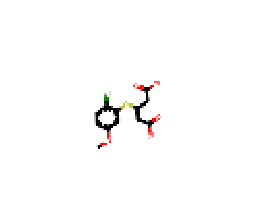 COc1ccc(Cl)c(SC(CC(=O)O)CC(=O)O)c1